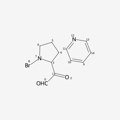 O=CC(=O)C1CCCN1Br.c1ccncc1